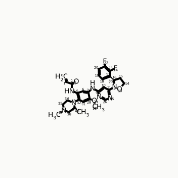 C=CC(=O)Nc1cc(Nc2cc(N3OCC[C@@H]3c3cccc(F)c3F)ncn2)c(OC)cc1N1CCN(C)C[C@@H]1C